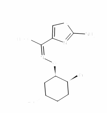 CC(C)[C@H]1CC[C@H](C)C[C@H]1O/N=C(/C(=O)O)c1csc(N)n1